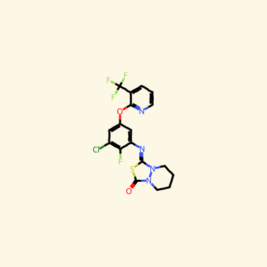 O=c1sc(=Nc2cc(Oc3ncccc3C(F)(F)F)cc(Cl)c2F)n2n1CCCC2